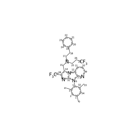 Cc1cc(C)c(-n2c3ncccc3n3c(CN(CCc4ccccc4)CCC(F)(F)F)c(C(F)(F)F)nc23)c(C)c1